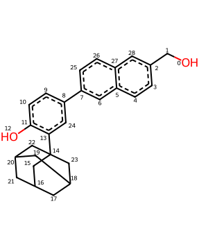 OCc1ccc2cc(-c3ccc(O)c(C45CC6CC(CC(C6)C4)C5)c3)ccc2c1